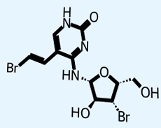 O=c1nc(N[C@@H]2O[C@H](CO)[C@H](Br)[C@H]2O)c(C=CBr)c[nH]1